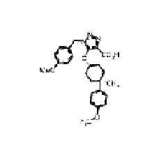 COc1ccc(Cn2nnc(C(=O)O)c2O[C@H]2CC[C@](C)(c3ccc(OC(F)(F)F)cc3)CC2)cc1